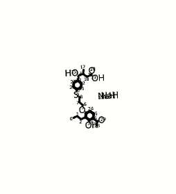 CCCc1c(OCCCSc2ccc(C(O)C(C)CC(=O)O)cc2)ccc(C(C)=O)c1O.[NaH].[NaH]